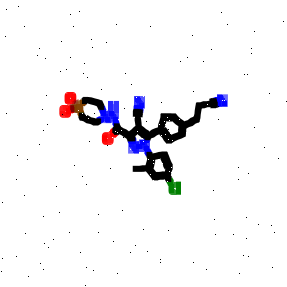 Cc1cc(Cl)ccc1-n1nc(C(=O)NN2CCS(=O)(=O)CC2)c(C#N)c1-c1ccc(CCC#N)cc1